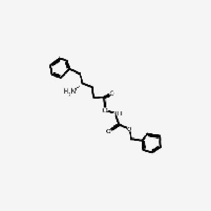 N[C@@H](CCC(=O)ONC(=O)OCc1ccccc1)Cc1ccccc1